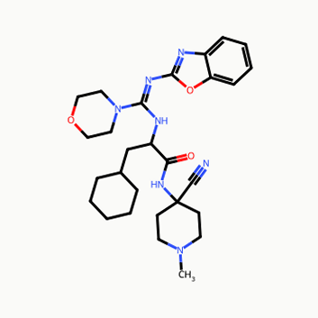 CN1CCC(C#N)(NC(=O)C(CC2CCCCC2)N/C(=N\c2nc3ccccc3o2)N2CCOCC2)CC1